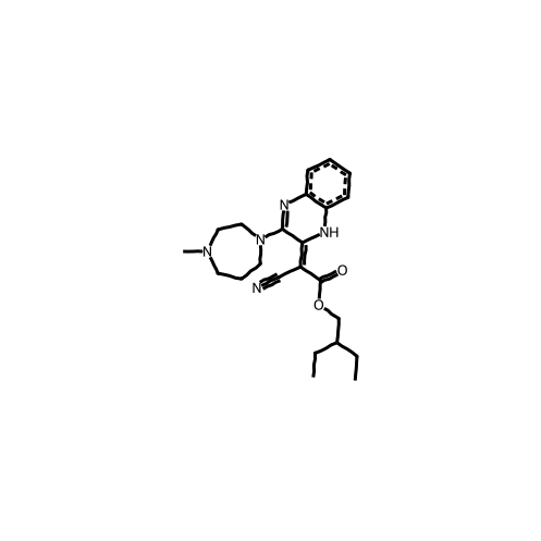 CCC(CC)COC(=O)C(C#N)=C1Nc2ccccc2N=C1N1CCCN(C)CC1